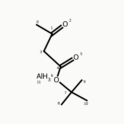 CC(=O)CC(=O)OC(C)(C)C.[AlH3]